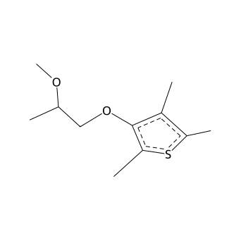 COC(C)COc1c(C)sc(C)c1C